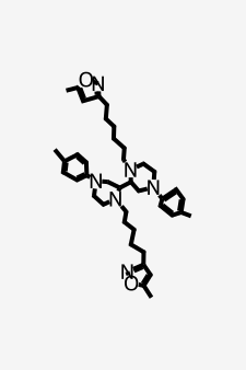 Cc1ccc(N2CCN(CCCCCCc3cc(C)on3)C(C3CN(c4ccc(C)cc4)CCN3CCCCCc3cc(C)on3)C2)cc1